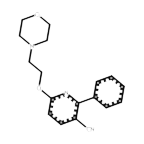 N#Cc1ccc(OCCN2CCOCC2)nc1-c1ccccc1